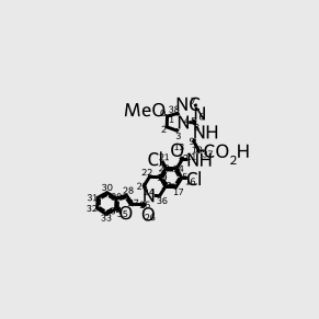 CO[C@H]1CCN(/C(=N\C#N)NC[C@H](NC(=O)c2c(Cl)cc3c(c2Cl)CCN(C(=O)c2cc4ccccc4o2)C3)C(=O)O)C1